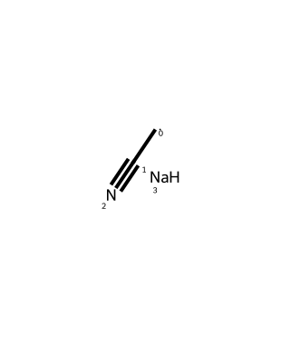 [CH2]C#N.[NaH]